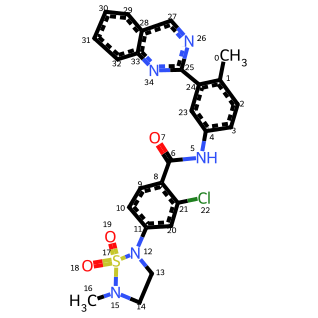 Cc1ccc(NC(=O)c2ccc(N3CCN(C)S3(=O)=O)cc2Cl)cc1-c1ncc2ccccc2n1